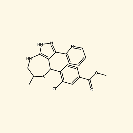 COC(=O)c1ccc(C2SC(C)CNc3[nH]nc(-c4ccccn4)c32)c(Cl)c1